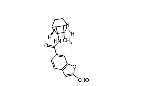 C[C@H]1[C@H](NC(=O)c2ccc3cc(C=O)oc3c2)C2CCN1CC2